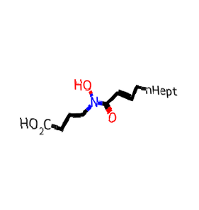 CCCCCCCC/C=C/C(=O)N(O)CCCC(=O)O